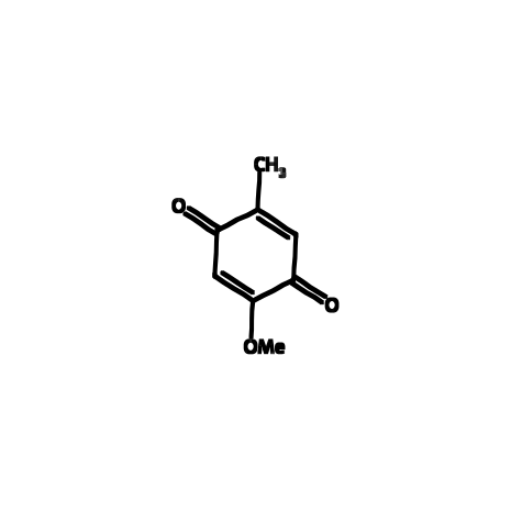 COC1=CC(=O)C(C)=CC1=O